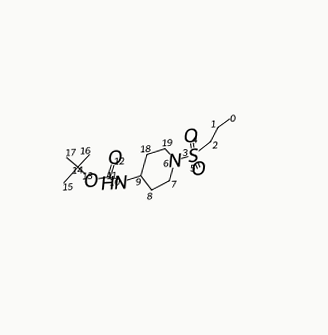 CCCS(=O)(=O)N1CCC(NC(=O)OC(C)(C)C)CC1